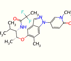 Cc1cc2c(cnn2-c2ccc(=O)n(C)c2)cc1O[C@H](C)[C@@H](NC(=O)C(C)(F)F)C(C)C